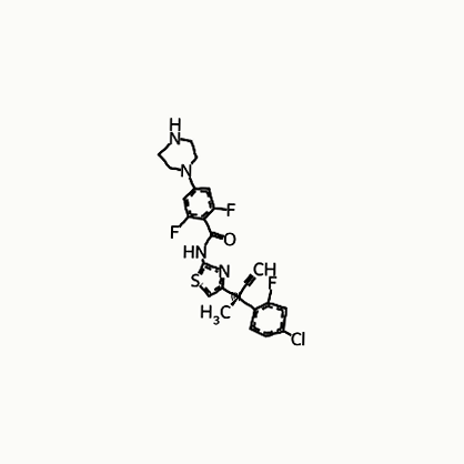 C#C[C@@](C)(c1csc(NC(=O)c2c(F)cc(N3CCNCC3)cc2F)n1)c1ccc(Cl)cc1F